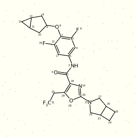 O=C(Nc1cc(F)c(OC2CC3CC3C2)c(F)c1)c1nc(N2CC3CCC3C2)oc1CC(F)(F)F